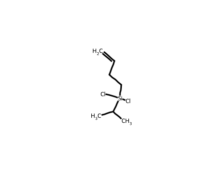 C=CCC[Si](Cl)(Cl)C(C)C